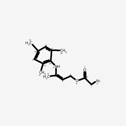 CC(=O)CC(=O)OC/C=C(/C)Nc1c(C)cc(C)cc1C